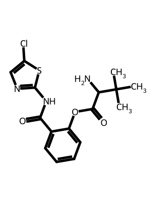 CC(C)(C)C(N)C(=O)Oc1ccccc1C(=O)Nc1ncc(Cl)s1